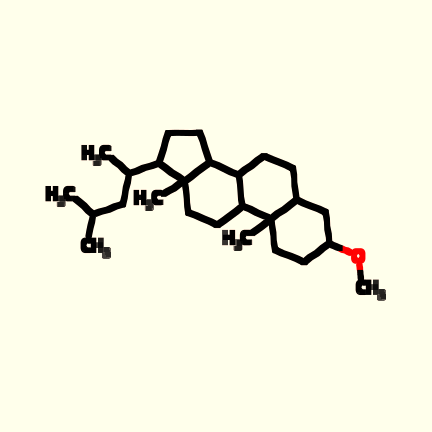 COC1CCC2(C)C(CCC3C2CCC2(C)C(C(C)CC(C)C)CCC32)C1